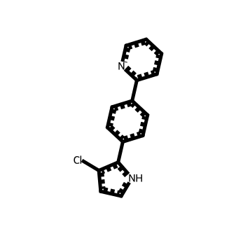 Clc1cc[nH]c1-c1ccc(-c2ccccn2)cc1